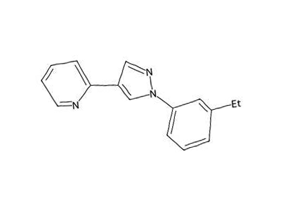 CCc1cccc(-n2cc(-c3ccccn3)cn2)c1